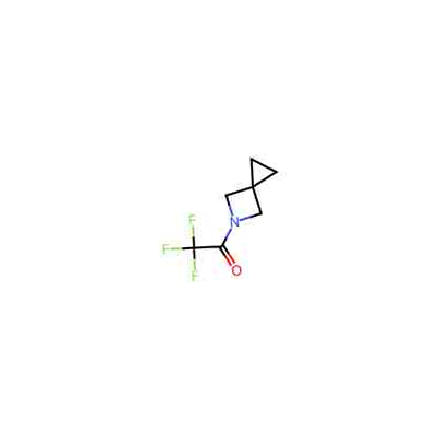 O=C(N1CC2(CC2)C1)C(F)(F)F